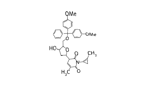 COc1ccc(C(OCC2OC(C3C=C(C)C(=O)N(C4=C(C)C4)C3=O)CC2O)(c2ccccc2)c2ccc(OC)cc2)cc1